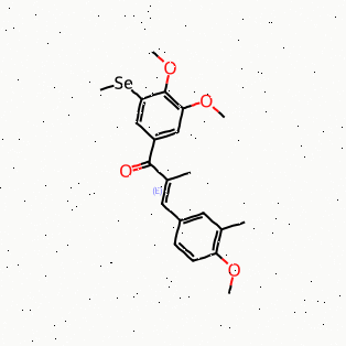 COc1ccc(/C=C(\C)C(=O)c2cc(OC)c(OC)c([Se]C)c2)cc1C